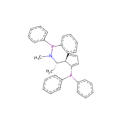 C[C@@H]([C@H]1C=CC=C1P(c1ccccc1)c1ccccc1)N(C)P(c1ccccc1)c1ccccc1